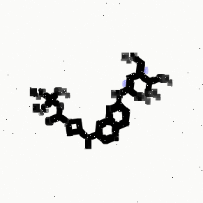 CC(C)C(=C/N)/C=C(\N)Nc1ccc2ncc(NC3CN(C(=O)OC(C)(C)C)C3)cc2n1